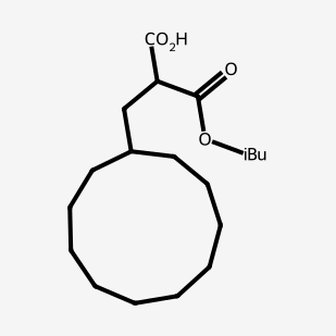 CCC(C)OC(=O)C(CC1CCCCCCCCCC1)C(=O)O